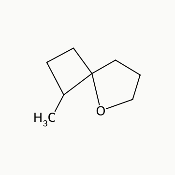 CC1CCC12CCCO2